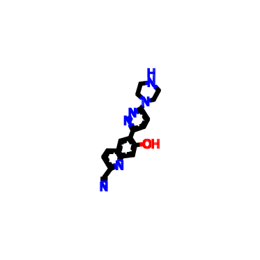 N#Cc1ccc2cc(-c3ccc(N4CCNCC4)nn3)c(O)cc2n1